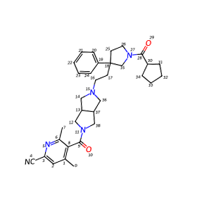 Cc1cc(C#N)nc(C)c1C(=O)N1CC2CN(CCC3(c4ccccc4)CCN(C(=O)C4CCCC4)C3)CC2C1